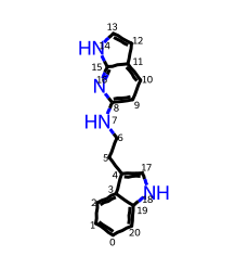 c1ccc2c(CCNc3ccc4cc[nH]c4n3)c[nH]c2c1